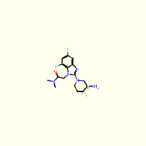 CN(C)C(=O)Cn1c(N2CC[C@@H](F)[C@H](N)C2)nc2cc(F)cc(F)c21